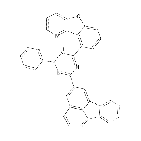 c1ccc(C2N=C(c3cc4c5c(cccc5c3)-c3ccccc3-4)N=C(c3cccc4oc5cccnc5c34)N2)cc1